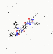 CCCCCCNC(=O)[C@H](CNC(=O)c1ccc(C(=O)N2C[C@@H](C(=O)N[C@H]3C[C@@H]3c3ccccc3)[C@H](C(=O)N[C@H]3C[C@@H]3c3ccccc3)C2)cc1)NC(=O)NCCCCC